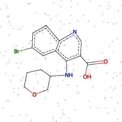 O=C(O)c1cnc2ccc(Br)cc2c1NC1CCCOC1